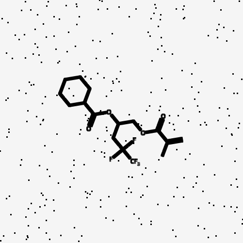 C=C(C)C(=O)OCC(CC(F)(F)C(F)(F)F)OC(=O)C1CCCCC1